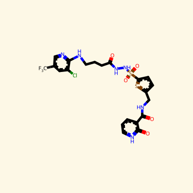 O=C(CCCNc1ncc(C(F)(F)F)cc1Cl)NNS(=O)(=O)c1ccc(CNC(=O)c2ccc[nH]c2=O)s1